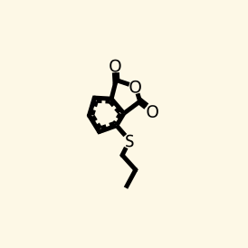 CCCSc1cccc2c1C(=O)OC2=O